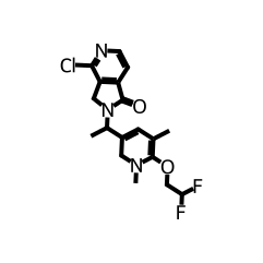 CC1=C(OCC(F)F)N(C)CC(C(C)N2Cc3c(ccnc3Cl)C2=O)=C1